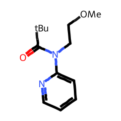 COCCN(C(=O)C(C)(C)C)c1ccccn1